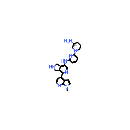 Cn1ccc2c(-c3ncc(Nc4cccc(N5CCC[C@@H](N)C5)n4)c4c3CNC4)ccnc21